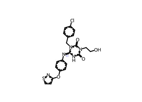 O=c1[nH]/c(=N\c2ccc(Oc3ccsn3)cc2)n(Cc2ccc(Cl)cc2)c(=O)n1CCO